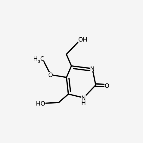 COc1c(CO)nc(=O)[nH]c1CO